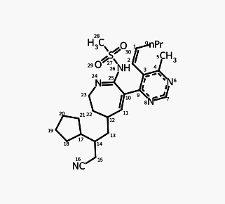 CCC/C=C\c1c(C)ncnc1C1=CC(CC(CC#N)C2CCCC2)CCN=C1NS(C)(=O)=O